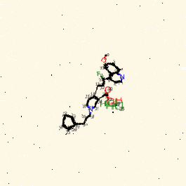 COc1ccc2nccc(C(F)CC[C@@H]3CCN(CCCc4ccccc4)C[C@@H]3C(=O)O)c2c1.Cl.Cl